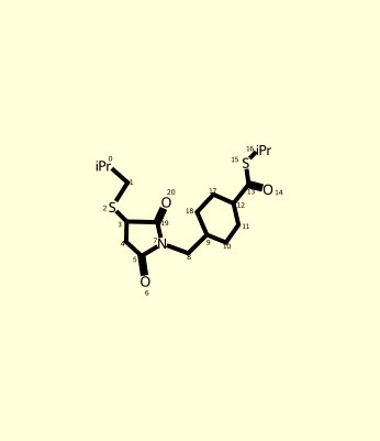 CC(C)CSC1CC(=O)N(CC2CCC(C(=O)SC(C)C)CC2)C1=O